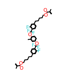 C=C(C)C(=O)OCCCCCc1ccc(C(F)(F)Oc2ccc(OC(F)(F)c3ccc(CCCCCOC(=O)C(=C)C)cc3F)c(C)c2)c(F)c1